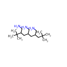 CC(C)(C)CC(CN)CC(CN)CC(CN)C(C)(C)C